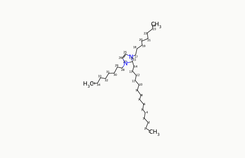 CCCCCCCCCCCCCCCC1N(CCCCCCCC)C=CN1CCCCCCCC